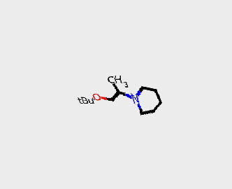 CC(COC(C)(C)C)N1CCCCC1